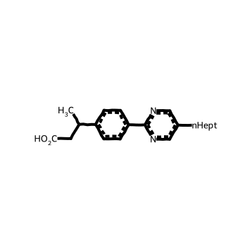 CCCCCCCc1cnc(-c2ccc(C(C)CC(=O)O)cc2)nc1